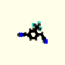 N#CCC1CC=C(C#N)C=C1C(F)(F)F